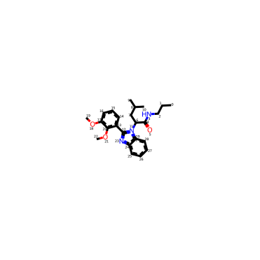 CCCNC(=O)C(CC(C)C)n1c(-c2cccc(OC)c2OC)nc2ccccc21